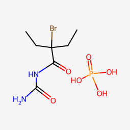 CCC(Br)(CC)C(=O)NC(N)=O.O=P(O)(O)O